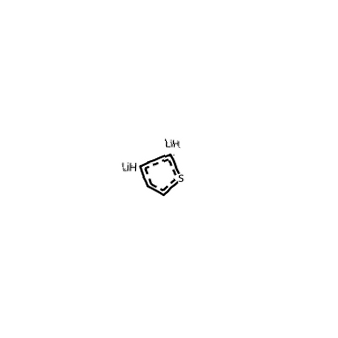 [LiH].[LiH].[c]1cccs1